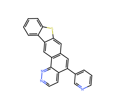 c1cncc(-c2cc3cc4sc5ccccc5c4cc3c3nnccc23)c1